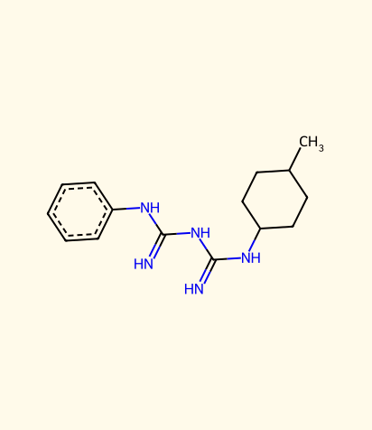 CC1CCC(NC(=N)NC(=N)Nc2ccccc2)CC1